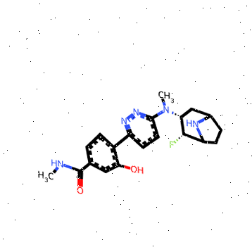 CNC(=O)c1ccc(-c2ccc(N(C)[C@@H]3CC4CCC(N4)[C@@H]3F)nn2)c(O)c1